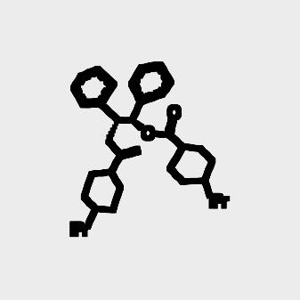 C=C(C[C@H](c1ccccc1)[C@H](OC(=O)C1CCC(C(C)C)CC1)c1ccccc1)C1CCC(C(C)C)CC1